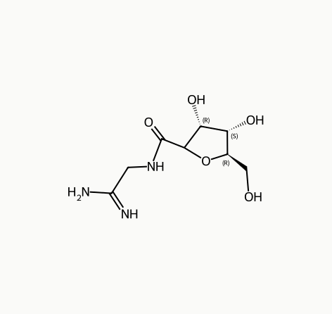 N=C(N)CNC(=O)C1O[C@H](CO)[C@@H](O)[C@H]1O